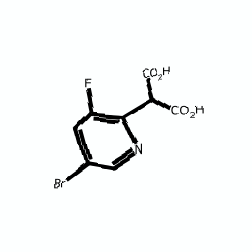 O=C(O)C(C(=O)O)c1ncc(Br)cc1F